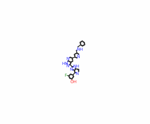 Oc1cc(F)cc(-c2nccc3[nH]c(-c4n[nH]c5ncc(-c6cncc(CNCc7ccccc7)c6)cc45)nc23)c1